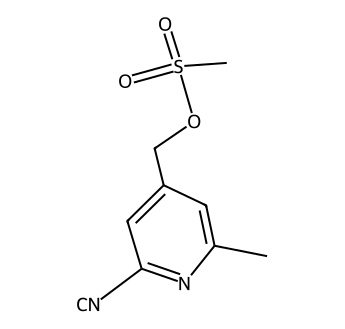 [C-]#[N+]c1cc(COS(C)(=O)=O)cc(C)n1